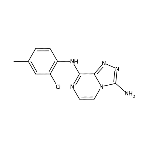 Cc1ccc(Nc2nccn3c(N)nnc23)c(Cl)c1